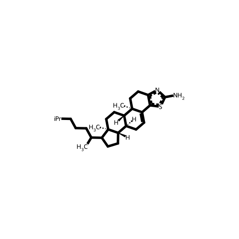 CC(C)CCCC(C)C1CC[C@H]2[C@@H]3CC=C4c5sc(N)nc5CC[C@]4(C)[C@H]3CC[C@]12C